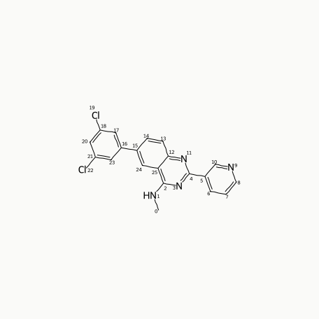 CNc1nc(-c2cccnc2)nc2ccc(-c3cc(Cl)cc(Cl)c3)cc12